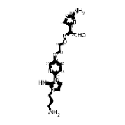 N=c1n(CCCN)ccn1-c1ccc(OCCO/N=C(\C=O)c2csc(N)n2)cn1